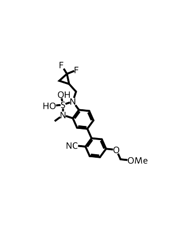 COCOc1ccc(C#N)c(-c2ccc3c(c2)N(C)S(O)(O)N3CC2CC2(F)F)c1